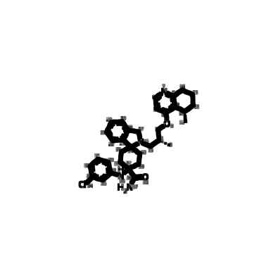 C[C@@H](COc1ccnc2c1[C@H](C)CCC2)CN1Cc2ccccc2C12CCC(Nc1cccc(Cl)c1)(C(N)=O)CC2